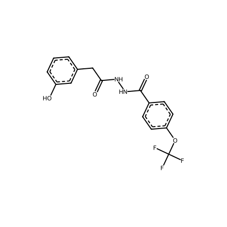 O=C(Cc1cccc(O)c1)NNC(=O)c1ccc(OC(F)(F)F)cc1